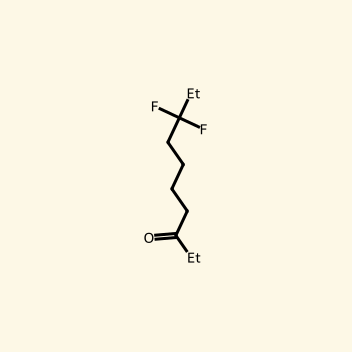 CCC(=O)CCCCC(F)(F)CC